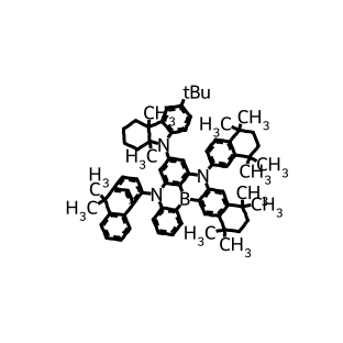 CC(C)(C)c1ccc2c(c1)C1(C)CCCCC1(C)N2c1cc2c3c(c1)N(c1ccc4cc1-c1ccccc1C4(C)C)c1ccccc1B3c1cc3c(cc1N2c1ccc2c(c1)C(C)(C)CCC2(C)C)C(C)(C)CCC3(C)C